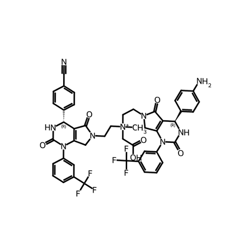 C[N+](CCN1CC2=C(C1=O)[C@@H](c1ccc(N)cc1)NC(=O)N2c1cccc(C(F)(F)F)c1)(CCN1CC2=C(C1=O)[C@@H](c1ccc(C#N)cc1)NC(=O)N2c1cccc(C(F)(F)F)c1)CC(=O)O